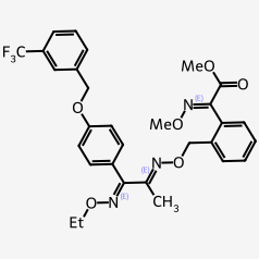 CCO/N=C(/C(C)=N/OCc1ccccc1/C(=N\OC)C(=O)OC)c1ccc(OCc2cccc(C(F)(F)F)c2)cc1